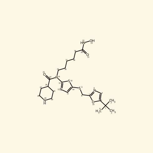 CC(C)(C)c1cnc(CSc2cnc(N(CCCCCC(=O)NO)C(=O)C3CCNCC3)s2)o1